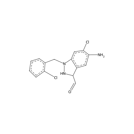 Nc1cc2c(cc1Cl)N(Cc1ccccc1Cl)NC2C=O